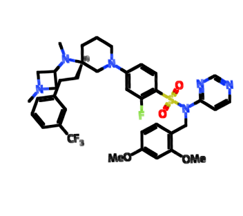 COc1ccc(CN(c2ccncn2)S(=O)(=O)c2ccc(N3CCC[C@@](CCc4cccc(C(F)(F)F)c4)(N(C)C4CN(C)C4)C3)cc2F)c(OC)c1